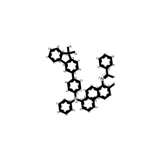 C/C(=N\c1c(C)ccc2c1ccc1c(N(c3ccccc3)c3ccc(-c4ccc5c(c4)-c4ccccc4C5(C)C)cc3)cccc12)c1ccccc1